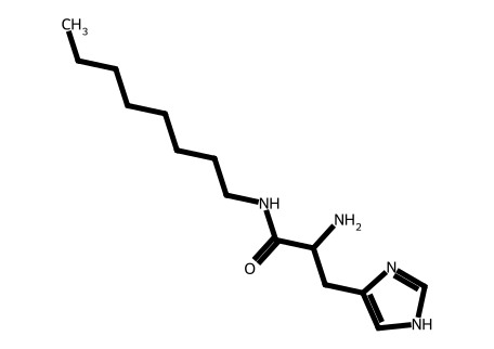 CCCCCCCCNC(=O)C(N)Cc1c[nH]cn1